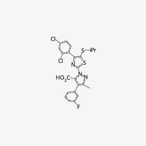 Cc1nn(-c2nc(-c3ccc(Cl)cc3Cl)c(SC(C)C)s2)c(C(=O)O)c1-c1cccc(F)c1